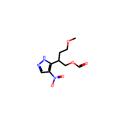 COCCC(COC=O)c1[nH]ncc1[N+](=O)[O-]